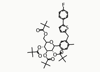 Cc1ccc(C2OC(COC(=O)C(C)(C)C)[C@@H](OC(=O)C(C)(C)C)[C@H](OC(=O)C(C)(C)C)[C@H]2OC(=O)C(C)(C)C)cc1Cc1ccc(-c2ccc(F)cc2)s1